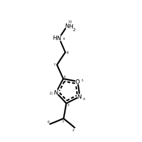 CC(C)c1noc(CCNN)n1